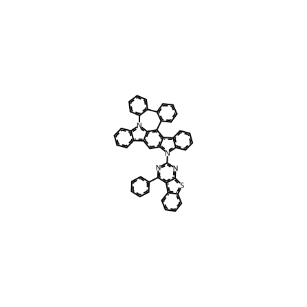 c1ccc(-c2nc(-n3c4ccccc4c4c5c6c(cc43)c3ccccc3n6-c3ccccc3-c3ccccc3-5)nc3sc4ccccc4c23)cc1